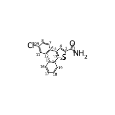 NC(=O)c1cc(-c2ccc(Cl)cc2)c(-c2ccccc2)s1